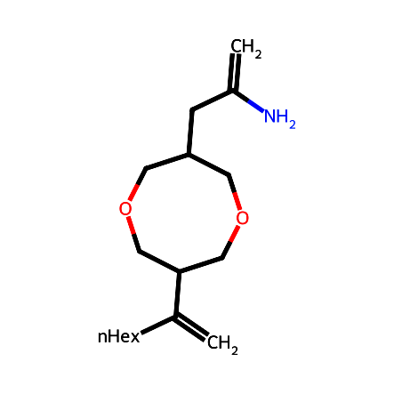 C=C(N)CC1COCC(C(=C)CCCCCC)COC1